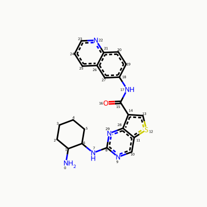 NC1CCCCC1Nc1ncc2scc(C(=O)Nc3ccc4ncccc4c3)c2n1